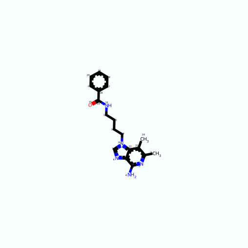 Cc1nc(N)c2ncn(CCCCNC(=O)c3ccccc3)c2c1C